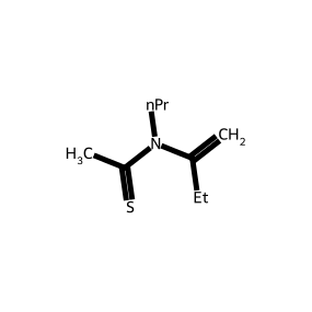 C=C(CC)N(CCC)C(C)=S